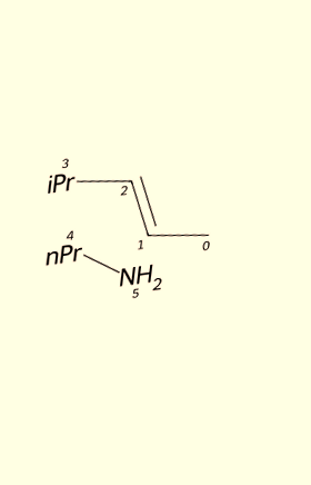 CC=CC(C)C.CCCN